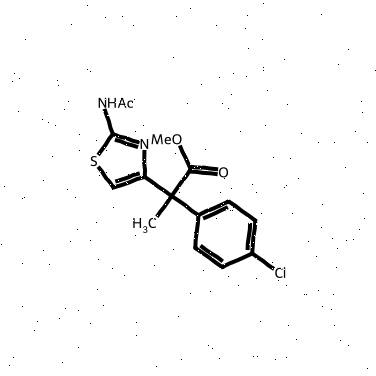 COC(=O)C(C)(c1ccc(Cl)cc1)c1csc(NC(C)=O)n1